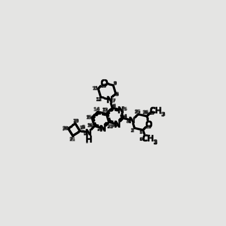 CC1CN(c2nc(N3CCOCC3)c3ccc(NC4CCC4)nc3n2)CC(C)O1